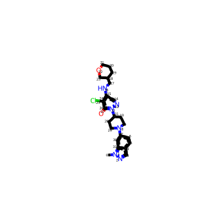 Cn1ncc2ccc(N3CCC(n4ncc(NCC5CCCOC5)c(Cl)c4=O)CC3)cc21